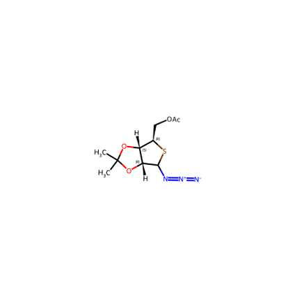 CC(=O)OC[C@H]1SC(N=[N+]=[N-])[C@@H]2OC(C)(C)O[C@H]12